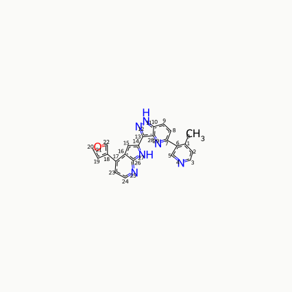 Cc1ccncc1-c1ccc2[nH]nc(-c3cc4c(-c5ccoc5)ccnc4[nH]3)c2n1